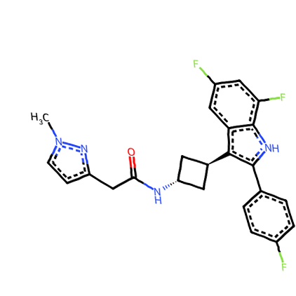 Cn1ccc(CC(=O)N[C@H]2C[C@H](c3c(-c4ccc(F)cc4)[nH]c4c(F)cc(F)cc43)C2)n1